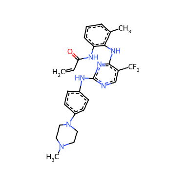 C=CC(=O)Nc1cccc(C)c1Nc1nc(Nc2ccc(N3CCN(C)CC3)cc2)ncc1C(F)(F)F